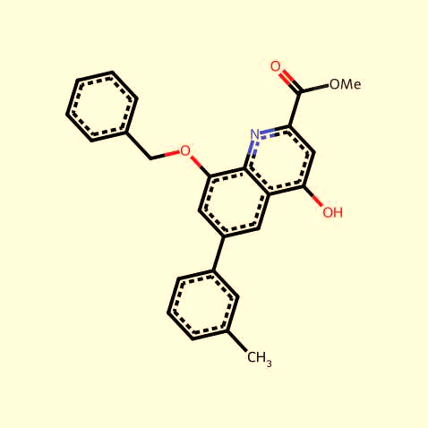 COC(=O)c1cc(O)c2cc(-c3cccc(C)c3)cc(OCc3ccccc3)c2n1